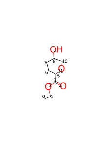 CCOC(=O)C1CCC(O)CO1